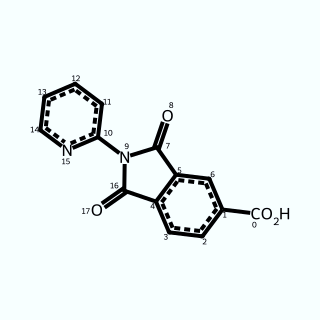 O=C(O)c1ccc2c(c1)C(=O)N(c1ccccn1)C2=O